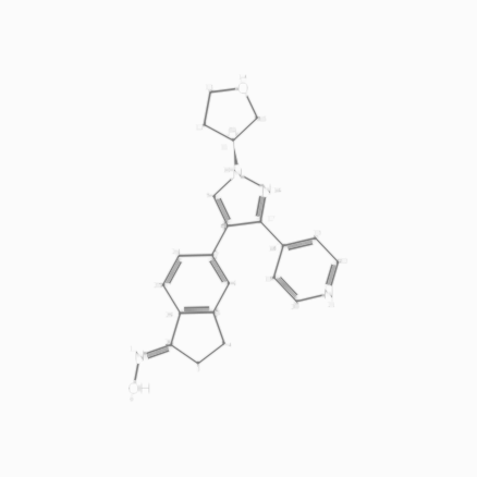 ON=C1CCc2cc(-c3cn([C@H]4CCOC4)nc3-c3ccncc3)ccc21